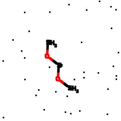 [SiH3]O[Si]O[SiH3]